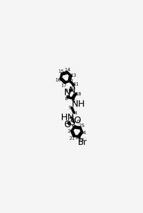 O=S(=O)(NCCNc1cnn(Cc2ccccc2)c1)c1ccc(Br)cc1